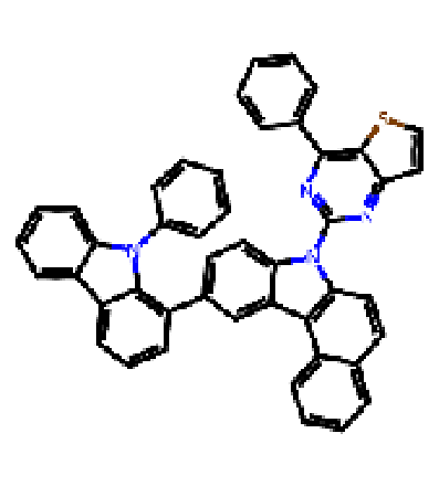 c1ccc(-c2nc(-n3c4ccc(-c5cccc6c7ccccc7n(-c7ccccc7)c56)cc4c4c5ccccc5ccc43)nc3ccsc23)cc1